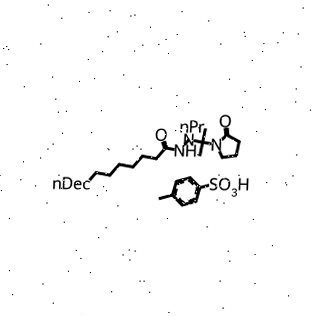 CCCCCCCCCCCCCCCCC(=O)NN(CCC)C(C)(C)N1CCCC1=O.Cc1ccc(S(=O)(=O)O)cc1